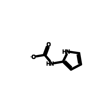 [O]C(=O)Nc1ccc[nH]1